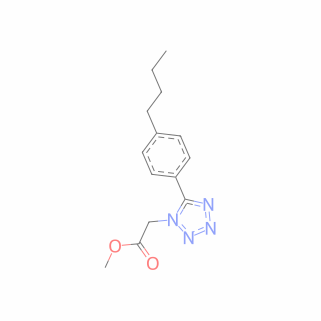 CCCCc1ccc(-c2nnnn2CC(=O)OC)cc1